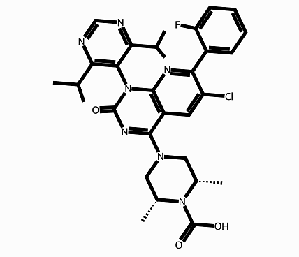 CC(C)c1ncnc(C(C)C)c1-n1c(=O)nc(N2C[C@@H](C)N(C(=O)O)[C@@H](C)C2)c2cc(Cl)c(-c3ccccc3F)nc21